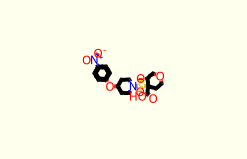 O=C(O)C1(S(=O)(=O)N2CCC(Oc3ccc([N+](=O)[O-])cc3)CC2)CCOCC1